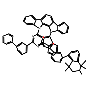 CC1CC(C)(C)c2c(-c3cccc(-c4cccc(-n5c6ccccc6c6ccc7c8ccccc8n(-c8nc(-c9ccccc9)nc(-c9cccc(-c%10ccccc%10)c9)n8)c7c65)c4)c3)cccc2C1(C)C